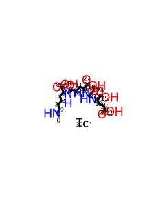 CNCCCCC(NC(=O)CCC(NC(=O)NC(CCC(=O)O)C(=O)O)C(=O)O)C(=O)O.[Tc]